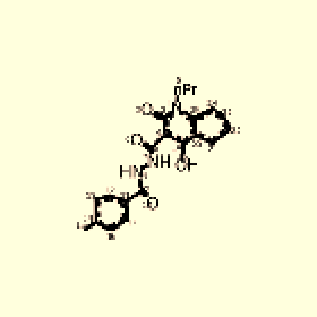 CCCn1c(=O)c(C(=O)NNC(=O)c2ccc(C)cc2)c(O)c2ccccc21